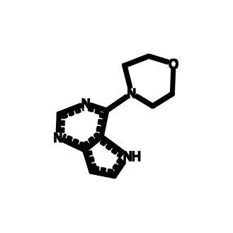 c1nc(N2CCOCC2)c2[nH]ccc2n1